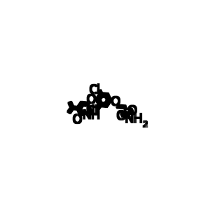 CC(C)c1cc(Oc2c(Cl)cc(OCCS(N)(=O)=O)cc2Cl)n[nH]c1=O